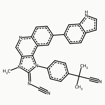 Cn1/c(=N/C#N)n(-c2ccc(C(C)(C)C#N)cc2)c2c3cc(-c4ccc5cc[nH]c5c4)ccc3ncc21